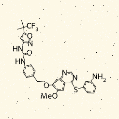 COc1cc2c(Sc3cccc(N)c3)ncnc2cc1OCCc1ccc(NC(=O)Nc2cc(C(C)(C)C(F)(F)F)on2)cc1